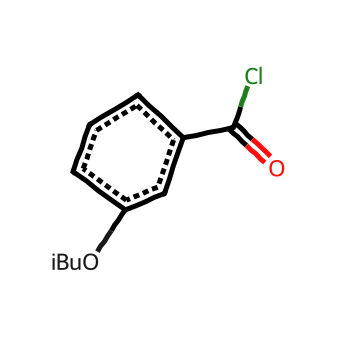 CC(C)COc1cccc(C(=O)Cl)c1